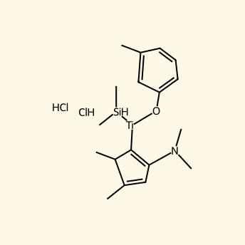 CC1=CC(N(C)C)=[C]([Ti]([O]c2cccc(C)c2)[SiH](C)C)C1C.Cl.Cl